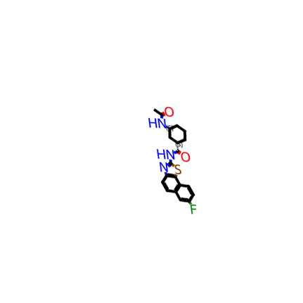 CC(=O)N[C@H]1CCC[C@H](C(=O)Nc2nc3ccc4cc(F)ccc4c3s2)C1